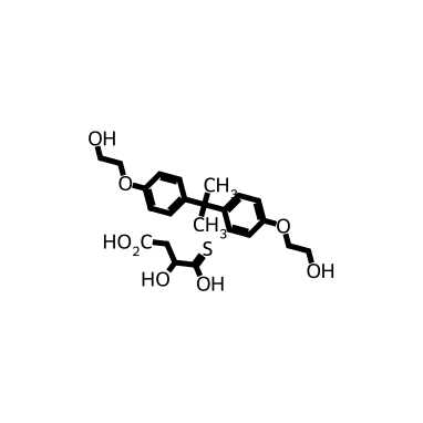 CC(C)(c1ccc(OCCO)cc1)c1ccc(OCCO)cc1.O=C(O)CC(O)C(O)=S